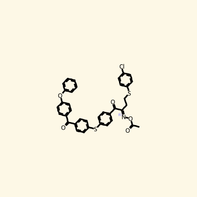 CC(=O)O/N=C(\CCSc1ccc(Cl)cc1)C(=O)c1ccc(Sc2ccc(C(=O)c3ccc(Oc4ccccc4)cc3)cc2)cc1